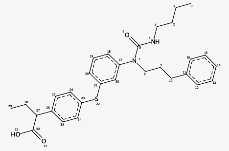 CCCCNC(=O)N(CCCc1ccccc1)c1cccc(Sc2ccc(C(CC)C(=O)O)cc2)c1